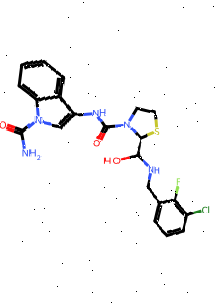 NC(=O)n1cc(NC(=O)N2CCS[C@H]2C(O)NCc2cccc(Cl)c2F)c2ccccc21